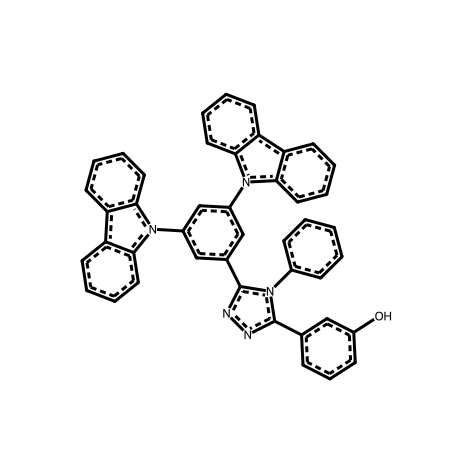 Oc1cccc(-c2nnc(-c3cc(-n4c5ccccc5c5ccccc54)cc(-n4c5ccccc5c5ccccc54)c3)n2-c2ccccc2)c1